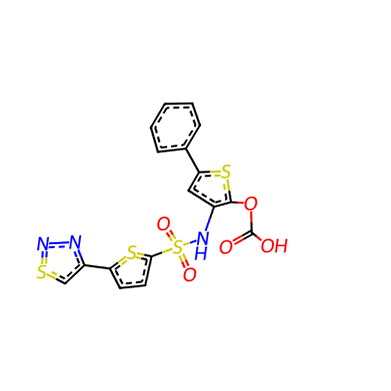 O=C(O)Oc1sc(-c2ccccc2)cc1NS(=O)(=O)c1ccc(-c2csnn2)s1